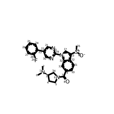 CN(C)[C@@H]1CCN(C(=O)c2ccc3c([S+](C)[O-])cn(-c4ncc(-c5ccccc5F)cn4)c3c2)C1